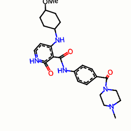 COC1CCC(Nc2cc[nH]c(=O)c2C(=O)Nc2ccc(C(=O)N3CCN(C)CC3)cc2)CC1